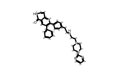 O=c1[nH]ccc2nc(-c3ccc(CCNCCN4CCN(c5ncccn5)CC4)cc3)c(-c3ccccc3)cc12